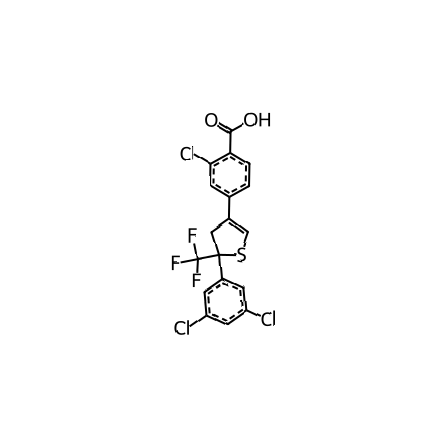 O=C(O)c1ccc(C2=CSC(c3cc(Cl)cc(Cl)c3)(C(F)(F)F)C2)cc1Cl